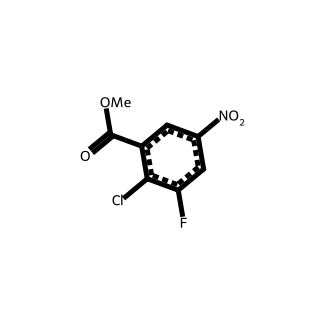 COC(=O)c1cc([N+](=O)[O-])cc(F)c1Cl